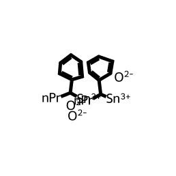 CCC[CH]([Sn+3])c1ccccc1.CCC[CH]([Sn+3])c1ccccc1.[O-2].[O-2].[O-2]